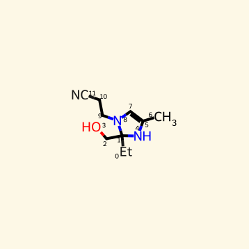 CCC1(CO)NC(C)=CN1CCC#N